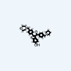 O=C(c1ccc(CN2CCCC2)cc1)c1c(-c2ccc(CN3CCOCC3)cc2)sc2cc(O)ccc12